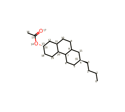 CCCC[C@H]1CCC2C(CCC3C[C@@H](OC(C)=O)CCC32)C1